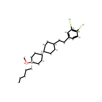 CCCCC[Si@]1(OC)CC[C@H](C2CCC(CCc3ccc(F)c(F)c3)CC2)CC1